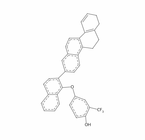 Oc1ccc(Oc2c(-c3ccc4c5c(ccc4c3)C3=C(CCC=C3)CC5)ccc3ccccc23)cc1C(F)(F)F